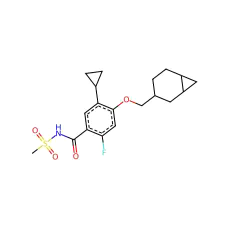 CS(=O)(=O)NC(=O)c1cc(C2CC2)c(OCC2CCC3CC3C2)cc1F